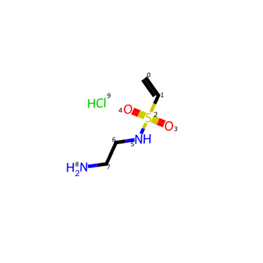 C=CS(=O)(=O)NCCN.Cl